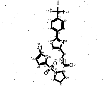 O=C(NCc1csc(-c2ccc(C(F)(F)F)cc2)n1)[C@@H]1CCCN1S(=O)(=O)c1ccc(Cl)s1